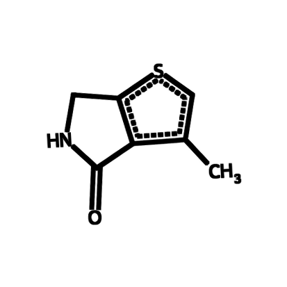 Cc1csc2c1C(=O)NC2